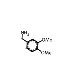 COc1c[c]c(CN)cc1OC